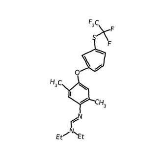 CCN(C=Nc1cc(C)c(Oc2cccc(SC(F)(F)C(F)(F)F)c2)cc1C)CC